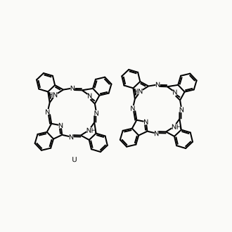 [U].c1ccc2c(c1)-c1nc-2nc2[nH]c(nc3nc(nc4[nH]c(n1)c1ccccc41)-c1ccccc1-3)c1ccccc21.c1ccc2c(c1)-c1nc-2nc2[nH]c(nc3nc(nc4[nH]c(n1)c1ccccc41)-c1ccccc1-3)c1ccccc21